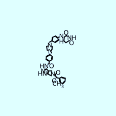 CO[C@@H](C(=O)N1Cc2[nH]nc(NC(=O)c3ccc(N4CCN(Cc5ccc(NC6CCC(=O)NC6=O)cc5)CC4)cc3)c2C1)c1ccccc1